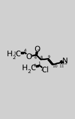 C=CCl.C=COC(=O)CC=CC#N